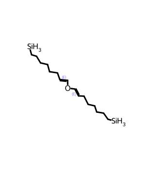 [SiH3]CCCCCC/C=C/O/C=C/CCCCCC[SiH3]